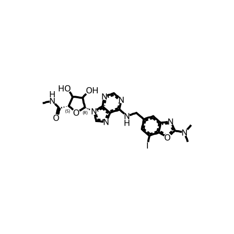 CNC(=O)[C@H]1O[C@@H](n2cnc3c(NCc4cc(I)c5oc(N(C)C)nc5c4)ncnc32)C(O)C1O